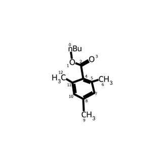 CCCCOC(=O)c1c(C)cc(C)cc1C